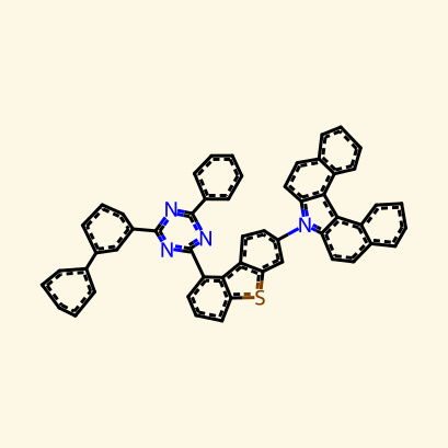 c1ccc(-c2cccc(-c3nc(-c4ccccc4)nc(-c4cccc5sc6cc(-n7c8ccc9ccccc9c8c8c9ccccc9ccc87)ccc6c45)n3)c2)cc1